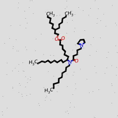 CCCCCCCCCCC(CCCCCCC(=O)OCCC(CCCCCC)CCCCCC)N(CCCCCCCCCC)C(=O)CCCCN1CCCC1